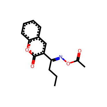 CCCC(=NOC(C)=O)c1cc2ccccc2oc1=O